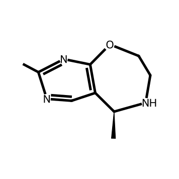 Cc1ncc2c(n1)OCCN[C@H]2C